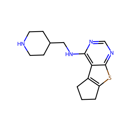 c1nc(NCC2CCNCC2)c2c3c(sc2n1)CCC3